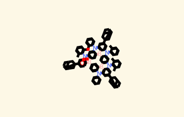 Cc1ccccc1N1c2cc3c(cc2B2c4cc5c(cc4N(c4ccccc4C)c4cc(C67CC8CC(CC(C8)C6)C7)cc1c42)N(c1c(C)cccc1C)c1cc(C24CC6CC(CC(C6)C2)C4)cc2c1B5c1ccccc1N2c1ccccc1)B1c2ccccc2Oc2cc(C45CC6CC(CC(C6)C4)C5)cc(c21)N3c1c(C)cccc1C